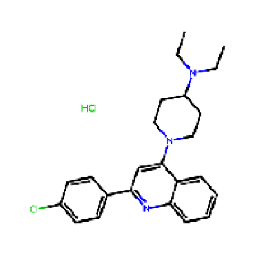 CCN(CC)C1CCN(c2cc(-c3ccc(Cl)cc3)nc3ccccc23)CC1.Cl